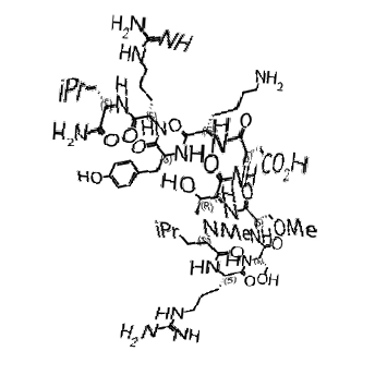 CN[C@@H](CC(C)C)C(=O)N[C@@H](CCCNC(=N)N)C(=O)N[C@@H](CO)C(=O)N[C@@H](COC)C(=O)N[C@H](C(=O)N[C@@H](CC(=O)O)C(=O)N[C@@H](CCCCN)C(=O)N[C@@H](Cc1ccc(O)cc1)C(=O)N[C@@H](CCCNC(=N)N)C(=O)N[C@@H](CC(C)C)C(N)=O)[C@@H](C)O